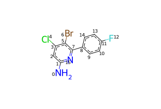 Nc1cc(Cl)c(Br)c(-c2ccc(F)cc2)n1